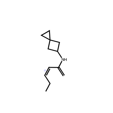 C=C(/C=C\CC)NC1CC2(CC2)C1